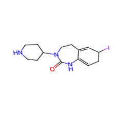 O=C1NC2=CCC(I)C=C2CCN1C1CCNCC1